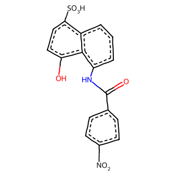 O=C(Nc1cccc2c(S(=O)(=O)O)ccc(O)c12)c1ccc([N+](=O)[O-])cc1